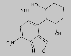 O=[N+]([O-])c1ccc(C2C(O)CCCC2O)c2nonc12.[NaH]